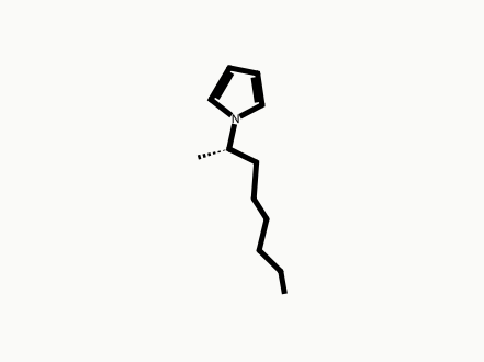 CCCCCC[C@H](C)n1cccc1